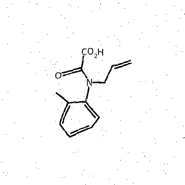 C=CCN(C(=O)C(=O)O)c1ccccc1C